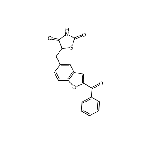 O=C1NC(=O)C(Cc2ccc3oc(C(=O)c4ccccc4)cc3c2)S1